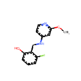 COc1cc(NCc2c(O)cccc2F)ccn1